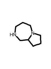 C1CNCC2CCCN2C1